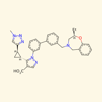 CC[C@@H]1CN(Cc2cccc(-c3cccc(-n4ncc(C(=O)O)c4[C@@H]4C[C@H]4c4cn(C)nn4)c3)c2)Cc2ccccc2O1